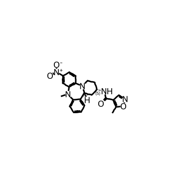 Cc1oncc1C(=O)N[C@H]1CCN2c3ccc([N+](=O)[O-])cc3N(C)c3ccccc3[C@H]2C1